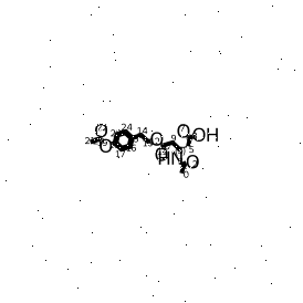 CC(=O)N[C@@H](CC(=O)O)CC(=O)OCCc1ccc(OC(C)=O)cc1